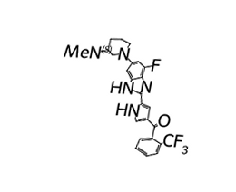 CN[C@H]1CCCN(c2cc(F)c3nc(-c4cc(C(=O)c5ccccc5C(F)(F)F)c[nH]4)[nH]c3c2)C1